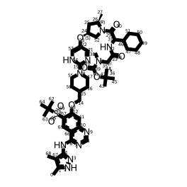 Cc1[nH]nc(Nc2ncnc3cc(OCC4CCN(C5N=CC(O[C@H]6C[C@@H](C)N(C(=O)C(NC(=O)[C@H](C)N(C)C(=O)OC(C)(C)C)C7CCCCC7)C6)=CN5)CC4)c(S(=O)(=O)C(C)(C)C)cc23)c1C